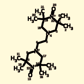 CC1(C)CN(CCN2CC(C)(C)[N+](=O)C(C)(C)C2)CC(C)(C)[N+]1=O